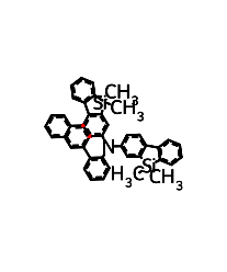 C[Si]1(C)c2ccccc2-c2ccc(N(c3ccc4c(c3)[Si](C)(C)c3ccccc3-4)c3ccccc3-c3ccc4ccccc4c3)cc21